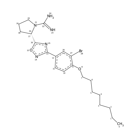 CCCCCCCCOc1ccc(-c2noc([C@@H]3CCCN3C(=N)N)n2)cc1Br